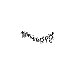 C=C(CC(=O)c1ccc(OCCOCONCCNC)cc1)c1ccc(I)cc1